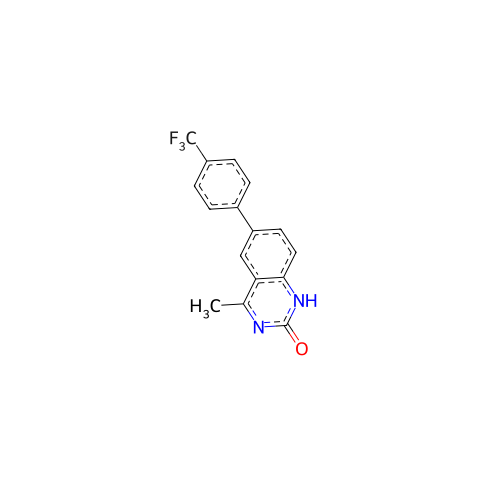 Cc1nc(=O)[nH]c2ccc(-c3ccc(C(F)(F)F)cc3)cc12